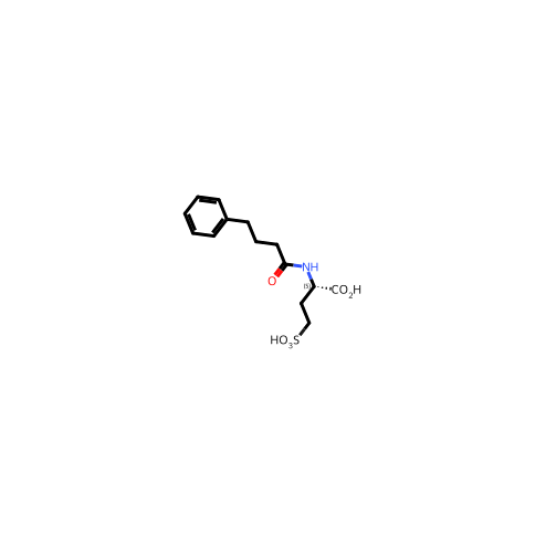 O=C(CCCc1ccccc1)N[C@@H](CCS(=O)(=O)O)C(=O)O